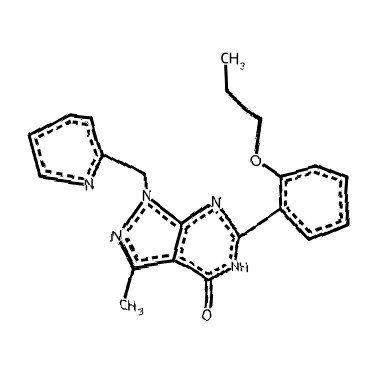 CCCOc1ccccc1-c1nc2c(c(C)nn2Cc2ccccn2)c(=O)[nH]1